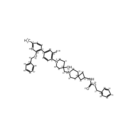 Cc1ccc(-c2ccc(N3CCC(O)(CN4CCC5(CC4)CC(NC(=O)OCc4ccccc4)C5)CC3)c(F)c2)c(OCc2ccccc2)n1